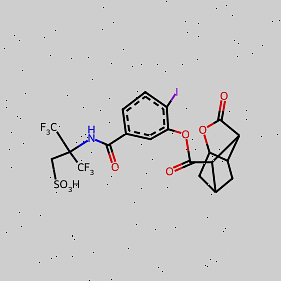 O=C(NC(CS(=O)(=O)O)(C(F)(F)F)C(F)(F)F)c1ccc(I)c(OC(=O)C2C3CC4OC(=O)C2C4C3)c1